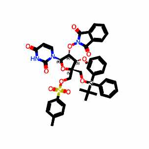 CO[C@H]1[C@@H](ON2C(=O)c3ccccc3C2=O)[C@H](n2ccc(=O)[nH]c2=O)O[C@@]1(CO[Si](c1ccccc1)(c1ccccc1)C(C)(C)C)COS(=O)(=O)c1ccc(C)cc1